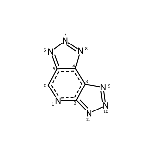 c1nc2c(c3c1=NN=N3)N=NN=2